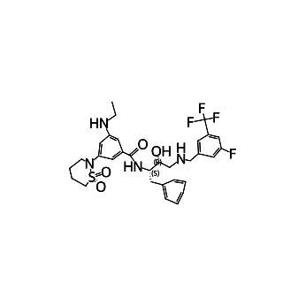 CCNc1cc(C(=O)N[C@@H](Cc2ccccc2)[C@H](O)CNCc2cc(F)cc(C(F)(F)F)c2)cc(N2CCCCS2(=O)=O)c1